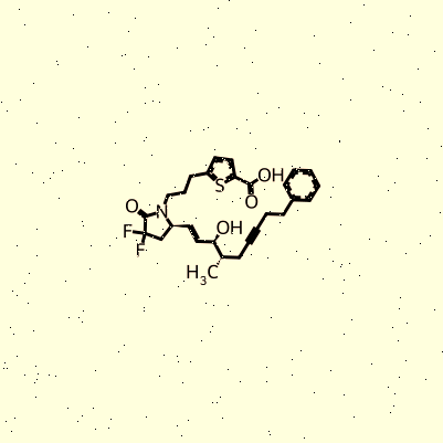 C[C@@H](CC#CCCc1ccccc1)[C@H](O)C=C[C@H]1CC(F)(F)C(=O)N1CCCc1ccc(C(=O)O)s1